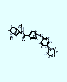 O=C(N[C@@H]1C[C@H]2CC[C@@H]1N2)c1ccc(Oc2ccc(N3CCOCC3)cn2)cc1